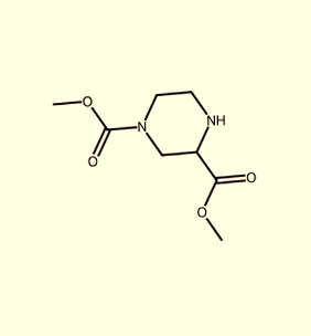 COC(=O)C1CN(C(=O)OC)CCN1